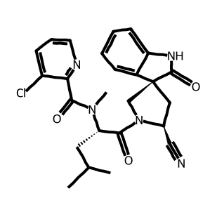 CC(C)C[C@@H](C(=O)N1C[C@]2(C[C@H]1C#N)C(=O)Nc1ccccc12)N(C)C(=O)c1ncccc1Cl